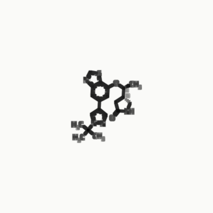 C[C@H](Oc1cc(-c2cnn(C(C)(C)C)c2)cc2ncsc12)[C@@H]1CNC(=O)C1